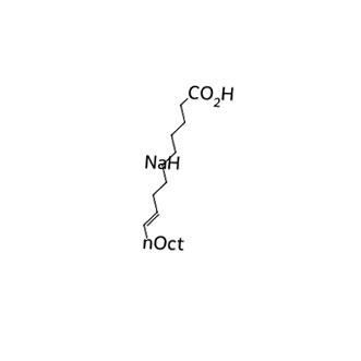 CCCCCCCC/C=C/CCCCCCCC(=O)O.[NaH]